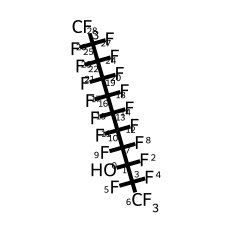 OC(F)(C(F)(F)C(F)(F)F)C(F)(F)C(F)(F)C(F)(F)C(F)(F)C(F)(F)C(F)(F)C(F)(F)C(F)(F)F